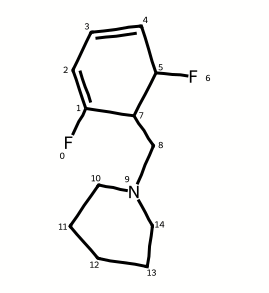 FC1=CC=CC(F)C1CN1CCCCC1